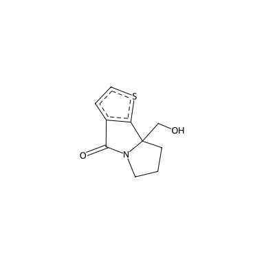 O=C1c2ccsc2C2(CO)CCCN12